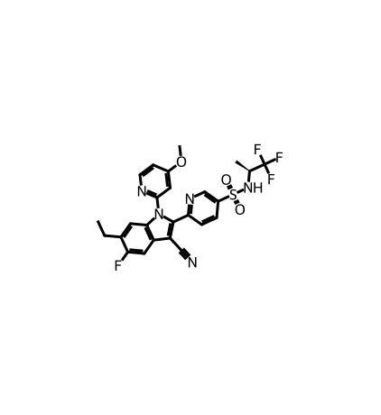 CCc1cc2c(cc1F)c(C#N)c(-c1ccc(S(=O)(=O)N[C@@H](C)C(F)(F)F)cn1)n2-c1cc(OC)ccn1